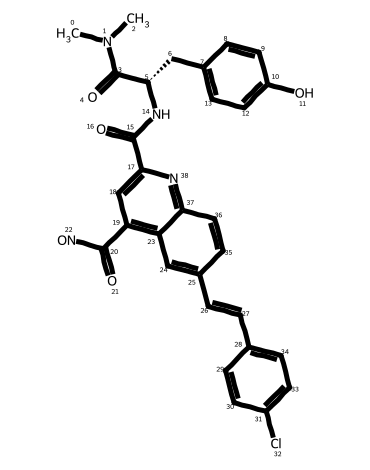 CN(C)C(=O)[C@H](Cc1ccc(O)cc1)NC(=O)c1cc(C(=O)N=O)c2cc(/C=C/c3ccc(Cl)cc3)ccc2n1